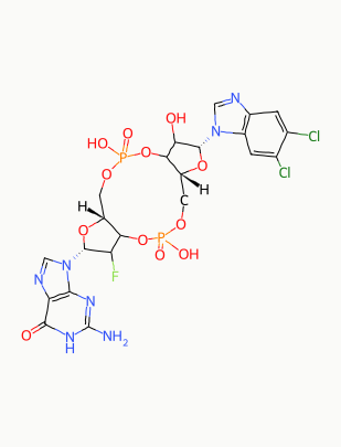 Nc1nc2c(ncn2[C@@H]2O[C@@H]3COP(=O)(O)OC4C(O)[C@H](n5cnc6cc(Cl)c(Cl)cc65)O[C@@H]4COP(=O)(O)OC3C2F)c(=O)[nH]1